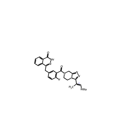 CN/C=C(\C)c1nnc2n1CCN(C(=O)c1cc(Cc3n[nH]c(=O)c4ccccc34)ccc1F)C2